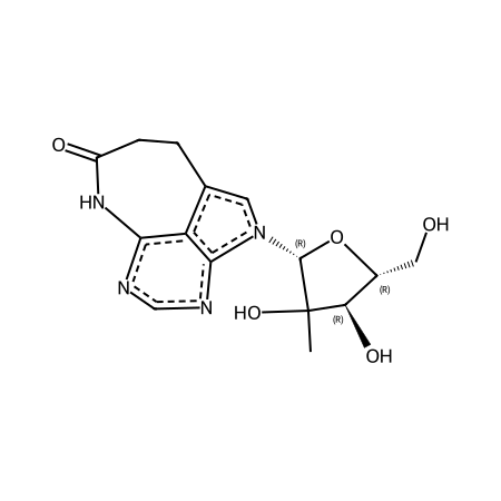 CC1(O)[C@H](O)[C@@H](CO)O[C@H]1n1cc2c3c(ncnc31)NC(=O)CC2